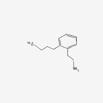 CCCCc1ccccc1CCN